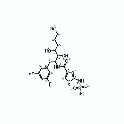 CCS(=O)(=O)Nc1nc(C(=O)NC(Cc2cc(F)cc(F)c2)C(O)C(O)CCCC#N)cs1